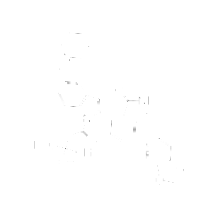 CC(C)(C)OC(=O)n1c(-c2ccc(-c3ccc4c(c3)OCO4)c3c2C(=O)NC3)cc2cc(CN3CCCCC3)ccc21